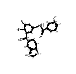 O=C(Nc1cc(F)c(F)c(C(=O)c2ccc3ncoc3c2)c1)c1cccc(F)c1